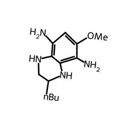 CCCCC1CNc2c(N)cc(OC)c(N)c2N1